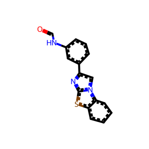 O=CNc1cccc(-c2cn3c(n2)sc2ccccc23)c1